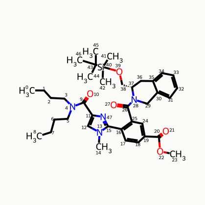 CCCCN(CCCC)C(=O)c1cn(C)c(-c2ccc(C(=O)OC)cc2C(=O)N2Cc3ccccc3C[C@H]2CO[Si](C)(C)C(C)(C)C)n1